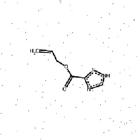 C=CCOC(=O)c1n[c][nH]n1